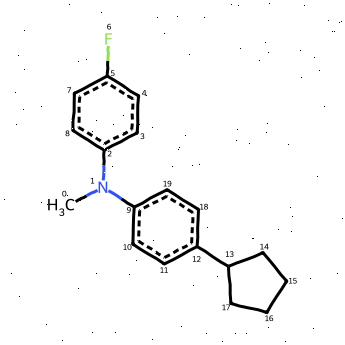 CN(c1ccc(F)cc1)c1ccc(C2CCCC2)cc1